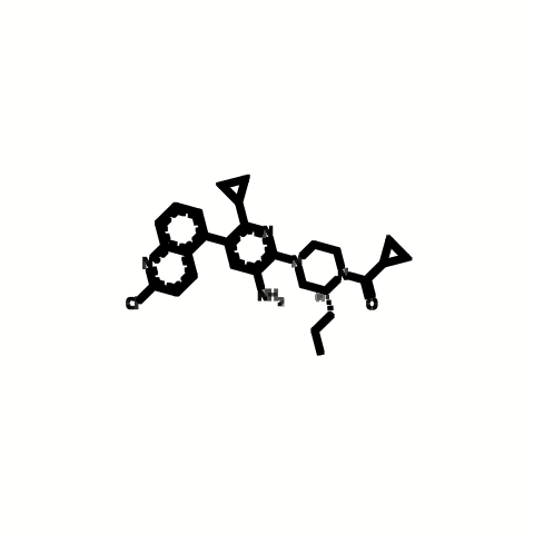 CCC[C@@H]1CN(c2nc(C3CC3)c(-c3cccc4nc(Cl)ccc34)cc2N)CCN1C(=O)C1CC1